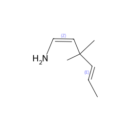 C/C=C/C(C)(C)/C=C\N